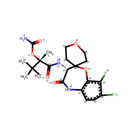 CC(C)(C)[C@](C)(OC(N)=O)C(=O)N[C@H]1C(=O)Nc2ccc(F)c(F)c2OC12CCOCC2